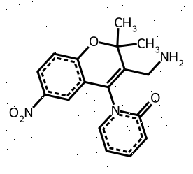 CC1(C)Oc2ccc([N+](=O)[O-])cc2C(n2ccccc2=O)=C1CN